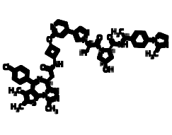 Cc1sc2c(c1C)C(c1ccc(Cl)cc1)=N[C@@H](CC(=O)N[C@H]1C[C@@H](Oc3cc(-c4cnn([C@@H](C(=O)N5C[C@H](O)C[C@H]5C(=O)N[C@@H](C)c5ccc(-n6ccnc6C)cc5)C(C)C)c4)ccn3)C1)c1nnc(C)n1-2